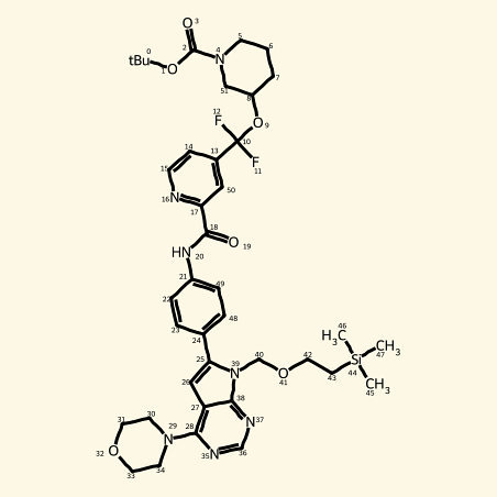 CC(C)(C)OC(=O)N1CCCC(OC(F)(F)c2ccnc(C(=O)Nc3ccc(-c4cc5c(N6CCOCC6)ncnc5n4COCC[Si](C)(C)C)cc3)c2)C1